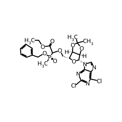 CCOC(=O)C(OC[C@H]1O[C@@H](n2cnc3c(Cl)nc(Cl)nc32)[C@@H]2OC(C)(C)O[C@@H]21)P(C)(=O)OCc1ccccc1